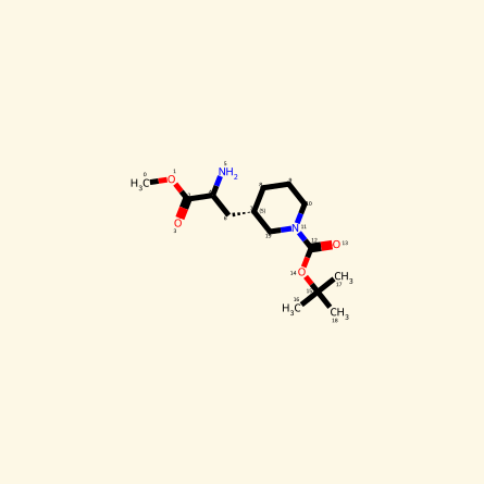 COC(=O)C(N)C[C@@H]1CCCN(C(=O)OC(C)(C)C)C1